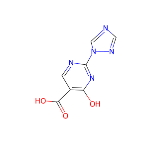 O=C(O)c1cnc(-n2cncn2)nc1O